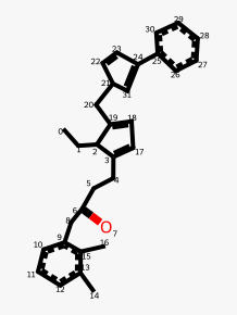 CCC1C(CCC(=O)Cc2cccc(C)c2C)=CC=C1CC1C=CC(c2ccccc2)=C1